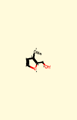 COc1ccoc1CO